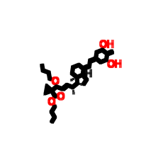 C=C1[C@H](O)CC(=C/C=C2\CCC[C@]3(C)[C@@H]([C@H](C)/C=C/[C@@H](OCCCC)C4(C(=O)OCCCC)CC4)CC[C@@H]23)C[C@H]1O